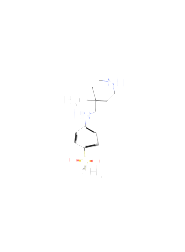 CC1(CNc2ccc(S(C)(=O)=O)cc2)CCNCC1